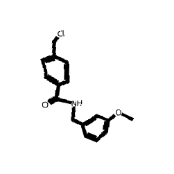 COc1cccc(CNC(=O)c2ccc(CCl)cc2)c1